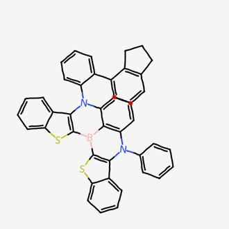 c1ccc(N2c3cccc4c3B(c3sc5ccccc5c32)c2sc3ccccc3c2N4c2ccccc2-c2cccc3c2CCC3)cc1